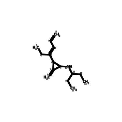 C=C/C=C(\CC)C1C(=C)C1NC(CC)CC